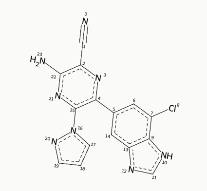 N#Cc1nc(-c2cc(Cl)c3[nH]cnc3c2)c(-n2cccn2)nc1N